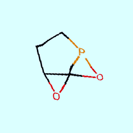 C1CP2OC23OC13